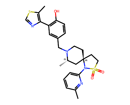 Cc1cccc(N2[C@@]3(CCN(Cc4ccc(O)c(-c5ncsc5C)c4)[C@@H](C)C3)CCS2(=O)=O)n1